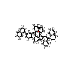 C1=CC(c2cc3c(c4ccccc24)c2ccc4c5ccc(-c6cccc7ccccc67)cc5n(-c5ccccc5)c4c2n3-c2ccccc2)C2CCC=CC2=C1